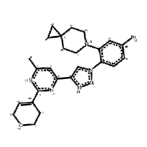 Cc1cc(-c2cn(-c3ccc(Br)cc3N3CCC4(CC3)CC4)nn2)nc(C2=CCOCC2)n1